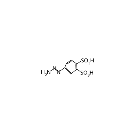 NN=Nc1ccc(S(=O)(=O)O)c(S(=O)(=O)O)c1